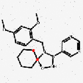 COc1ccc(CN2N(c3cncnc3)NO[C@@]23CC2CCC3CC2)c(OC)c1